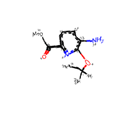 [2H]C([2H])([2H])Oc1nc(C(=O)OC)ccc1N